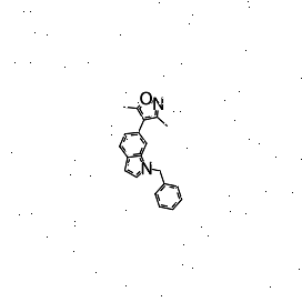 Cc1noc(C)c1-c1ccc2ccn(Cc3ccccc3)c2c1